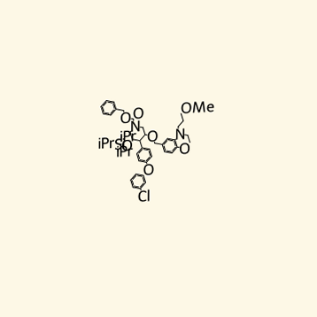 COCCCN1CCOc2ccc(COC3CN(C(=O)OCc4ccccc4)CC(O[Si](C(C)C)(C(C)C)C(C)C)C3c3ccc(Oc4cccc(Cl)c4)cc3)cc21